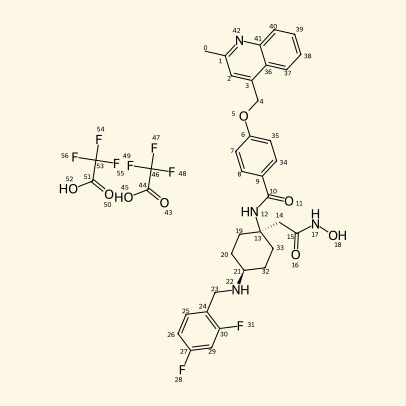 Cc1cc(COc2ccc(C(=O)N[C@]3(CC(=O)NO)CC[C@H](NCc4ccc(F)cc4F)CC3)cc2)c2ccccc2n1.O=C(O)C(F)(F)F.O=C(O)C(F)(F)F